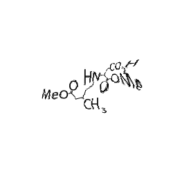 COC(=O)CC(C)CCNC(CC(=O)O)C(=O)OC